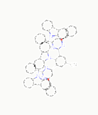 N#Cc1cc(-c2cc(-c3ccccc3)nc(-c3ccccc3)n2)c(-n2c3cc(-n4c5ccccc5c5ccccc54)ccc3c3ccc(-n4c5ccccc5c5ccccc54)cc32)c(-c2nc(-c3ccccc3)cc(-c3ccccc3)n2)c1